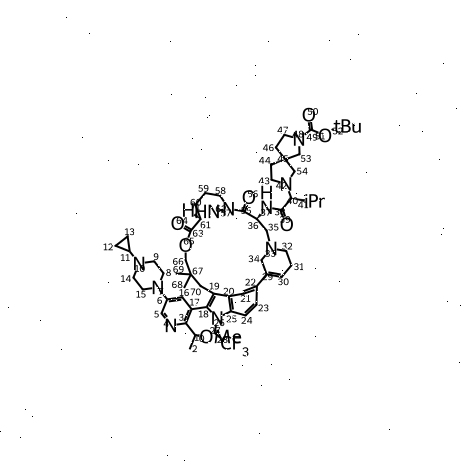 CO[C@@H](C)c1ncc(N2CCN(C3CC3)CC2)cc1-c1c2c3cc(ccc3n1CC(F)(F)F)C1=CCCN(C1)C[C@H](NC(=O)[C@H](C(C)C)N1CC[C@]3(CCN(C(=O)OC(C)(C)C)C3)C1)C(=O)N1CCC[C@H](N1)C(=O)OCC(C)(C)C2